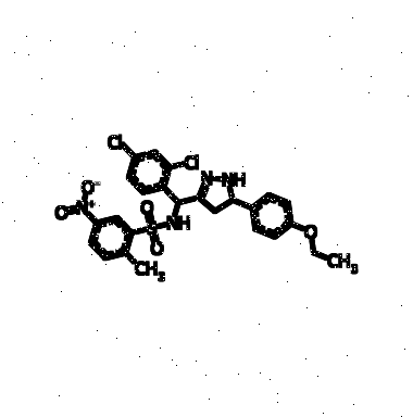 CCOc1ccc(C2CC(C(NS(=O)(=O)c3cc([N+](=O)[O-])ccc3C)c3ccc(Cl)cc3Cl)=NN2)cc1